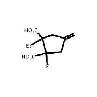 C=C1CC(CC)(C(=O)O)C(CC)(C(=O)O)C1